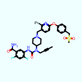 CC#CCN(C(=O)Nc1cc(C(N)=O)c(F)cc1F)C1CCN(Cc2ccc(Oc3ccc(CS(C)(=O)=O)cc3)nc2C(C)C)CC1